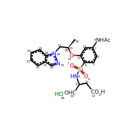 CC(=O)Nc1ccc(S(=O)(=O)NC(C=O)CC(=O)O)c(O[C@H](C)Cn2ncc3ccccc32)c1.Cl